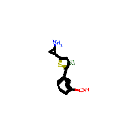 Cl.NC1CC1c1ccc(-c2cccc(O)c2)s1